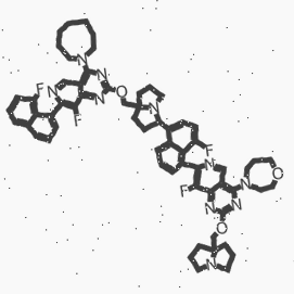 Fc1c(-c2cccc3cccc(F)c23)ncc2c(N3CCCCCCC3)nc(OCC34CCCN3C(c3ccc(F)c5c(-c6ncc7c(N8CCCOCC8)nc(OCC89CCCN8CCC9)nc7c6F)cccc35)CC4)nc12